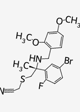 COc1ccc(CN[C@@](C)(CSCC#N)c2cc(Br)ccc2F)c(OC)c1